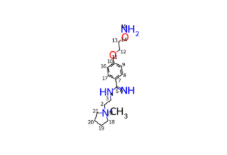 C[N+]1(CCNC(=N)c2ccc(OCCON)cc2)CCCC1